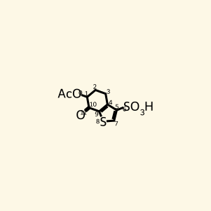 CC(=O)OC1CCc2c(S(=O)(=O)O)csc2C1=O